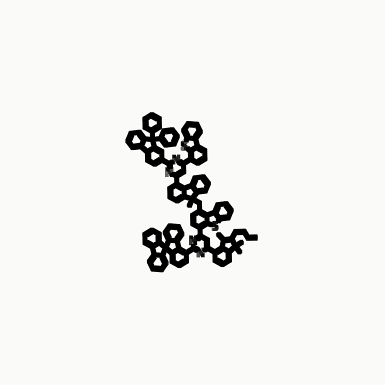 C=C/C=C\C1=C(C)c2c(-c3cc(-c4ccc(CC5(C)c6ccccc6-c6c(-c7cc(-c8cccc9c8sc8ccccc89)nc(-c8ccc9c(c8)C(c8ccccc8)(c8ccccc8)c8ccccc8-9)n7)cccc65)c5c4sc4ccccc45)nc(-c4cccc5c4-c4ccccc4C54c5ccccc5-c5ccccc54)n3)cccc2C1(C)C